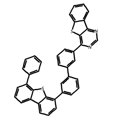 c1ccc(-c2cccc3c2sc2c(-c4cccc(-c5cccc(-c6ncnc7c6sc6ccccc67)c5)c4)cccc23)cc1